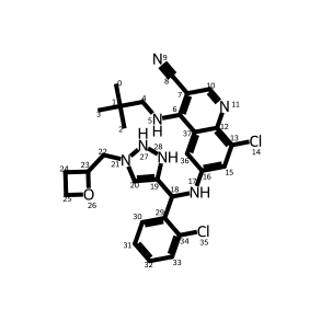 CC(C)(C)CNc1c(C#N)cnc2c(Cl)cc(NC(C3=CN(CC4CCO4)NN3)c3ccccc3Cl)cc12